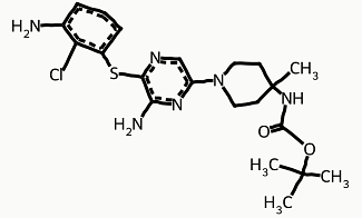 CC1(NC(=O)OC(C)(C)C)CCN(c2cnc(Sc3cccc(N)c3Cl)c(N)n2)CC1